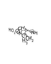 C=C[C@H](C)C1C(C2=NOC(C)(C(=O)O)C2)=C[C@@H]1C1=CNCCC1